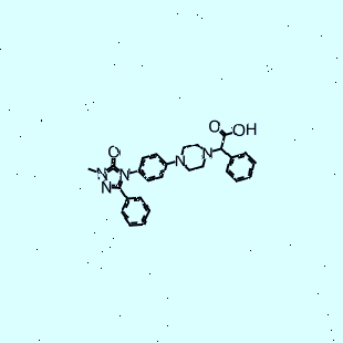 Cn1nc(-c2ccccc2)n(-c2ccc(N3CCN(C(C(=O)O)c4ccccc4)CC3)cc2)c1=O